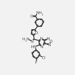 NN=C(c1ccc(-c2cccc(C(N)=O)c2)o1)c1nc2nonc2nc1Nc1ccc(F)c(Cl)c1